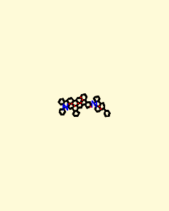 c1ccc(-c2ccc(-c3ccccc3N(c3ccccc3)c3ccc4c(c3)c3ccccc3c3cc5c6ccc(N(c7ccccc7)c7ccccc7-c7ccc(-c8ccccc8)cc7)cc6c6ccccc6c5cc43)cc2)cc1